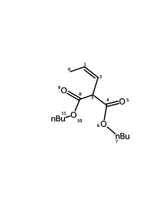 C/C=C\C(C(=O)OCCCC)C(=O)OCCCC